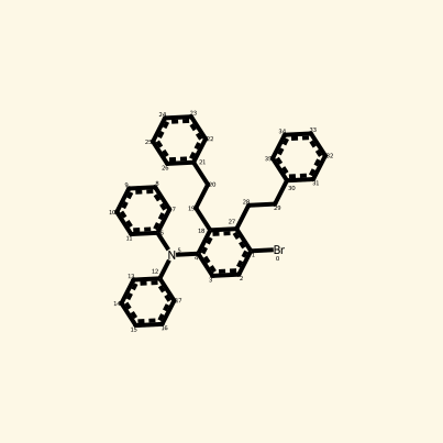 Brc1ccc(N(c2ccccc2)c2ccccc2)c(CCc2ccccc2)c1CCc1ccccc1